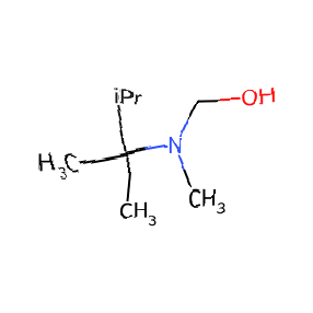 CC(C)C(C)(C)N(C)CO